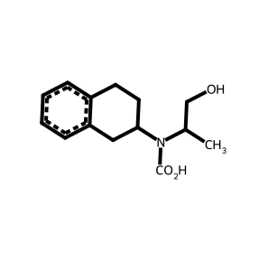 CC(CO)N(C(=O)O)C1CCc2ccccc2C1